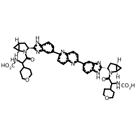 O=C(O)NC(C(=O)N1[C@@H]2C[C@@H]2C[C@H]1c1nc2cc(-c3ccc4nc(-c5ccc6[nH]c([C@@H]7C[C@H]8C[C@H]8N7C(=O)C(NC(=O)O)C7CCOCC7)nc6c5)ccc4n3)ccc2[nH]1)C1CCOCC1